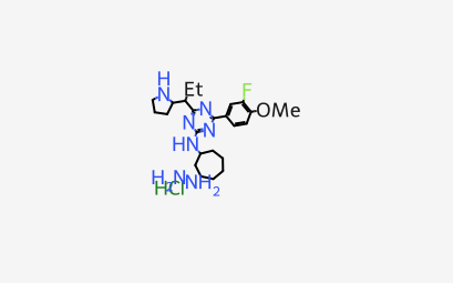 CCC(c1nc(NC2CCCCCC2)nc(-c2ccc(OC)c(F)c2)n1)C1CCCN1.Cl.NN